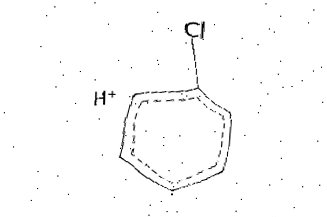 Clc1cc[c]cc1.[H+]